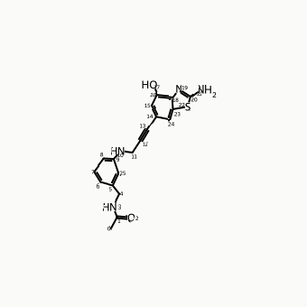 CC(=O)NCc1cccc(NCC#Cc2cc(O)c3nc(N)sc3c2)c1